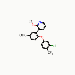 CCOc1ncccc1-c1cc(C=O)ccc1Oc1ccc(C(F)(F)F)c(Cl)c1